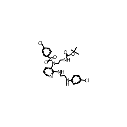 CC(C)(C)OC(=O)NCCN(c1cccnc1NCCNc1ccc(Cl)cc1)S(=O)(=O)c1ccc(Cl)cc1